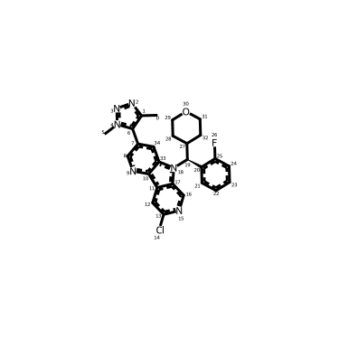 Cc1nnn(C)c1-c1cnc2c3cc(Cl)ncc3n([C@H](c3ccccc3F)C3CCOCC3)c2c1